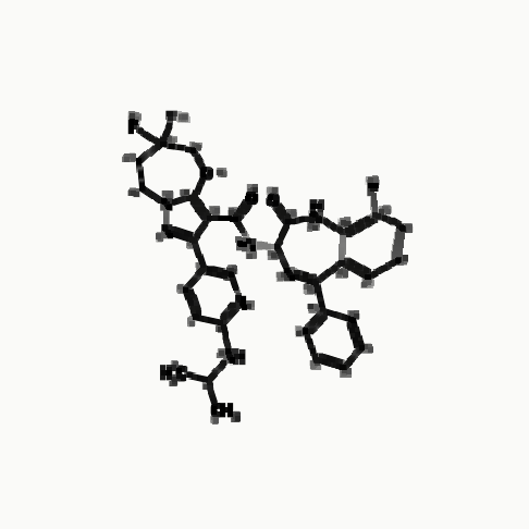 CC(C)Nc1ccc(-c2nn3c(c2C(=O)N[C@H]2N=C(c4ccccc4)c4cccc(F)c4NC2=O)OCC(F)(F)CC3)cn1